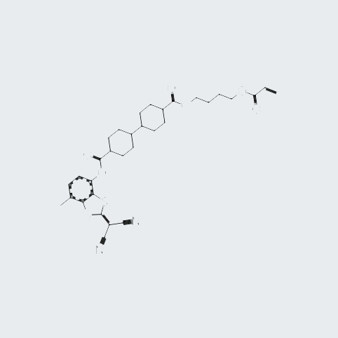 C=CC(=O)OCCCCOC(=O)C1CCC(C2CCC(C(=O)Oc3ccc(C)c4c3SC(=C(C#N)C#N)S4)CC2)CC1